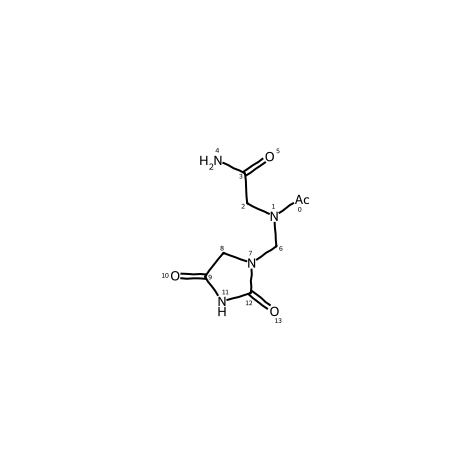 CC(=O)N(CC(N)=O)CN1CC(=O)NC1=O